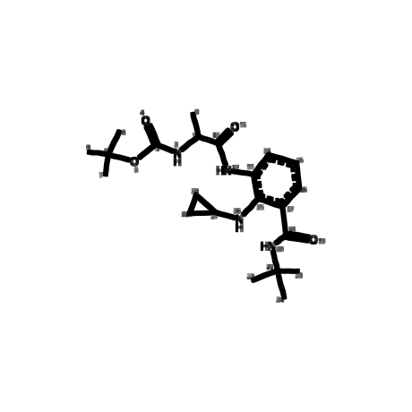 CC(NC(=O)OC(C)(C)C)C(=O)Nc1cccc(C(=O)NC(C)(C)C)c1NC1CC1